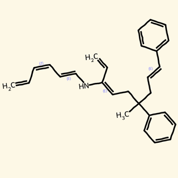 C=C/C=C\C=C\N/C(C=C)=C/CC(C)(C/C=C/c1ccccc1)c1ccccc1